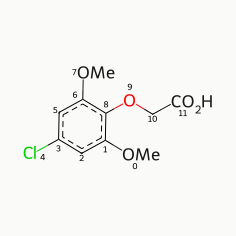 COc1cc(Cl)cc(OC)c1OCC(=O)O